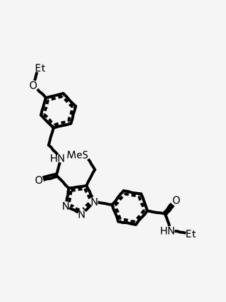 CCNC(=O)c1ccc(-n2nnc(C(=O)NCc3cccc(OCC)c3)c2CSC)cc1